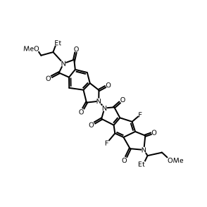 CCC(COC)n1c(=O)c2cc3c(=O)n(-n4c(=O)c5c(F)c6c(=O)n(C(CC)COC)c(=O)c6c(F)c5c4=O)c(=O)c3cc2c1=O